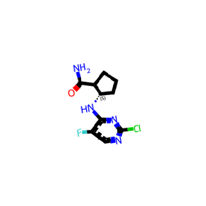 NC(=O)C1CCC[C@@H]1Nc1nc(Cl)ncc1F